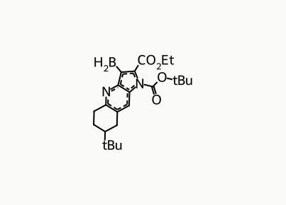 Bc1c(C(=O)OCC)n(C(=O)OC(C)(C)C)c2cc3c(nc12)CCC(C(C)(C)C)C3